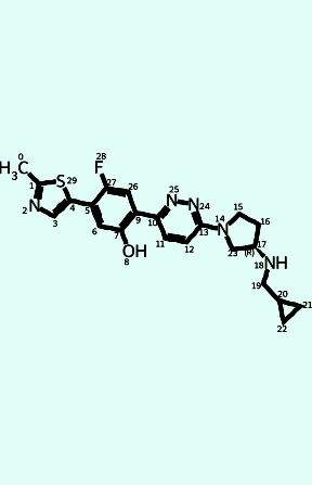 Cc1ncc(-c2cc(O)c(-c3ccc(N4CC[C@@H](NCC5CC5)C4)nn3)cc2F)s1